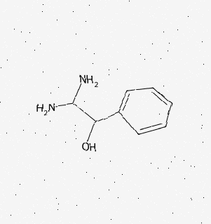 NC(N)C(O)c1ccccc1